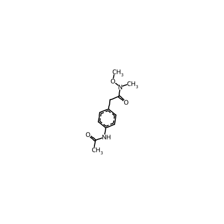 CON(C)C(=O)Cc1ccc(NC(C)=O)cc1